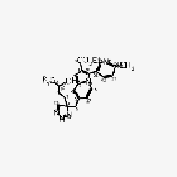 CCOC(=O)c1cc2cc(CC3(CCC(O)C(F)(F)F)C=NN=N3)ccn2c1-c1ccc(C)nc1